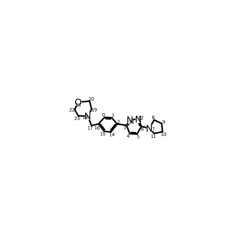 c1cc(-c2ccc(N3CCCC3)nn2)ccc1CN1CCOCC1